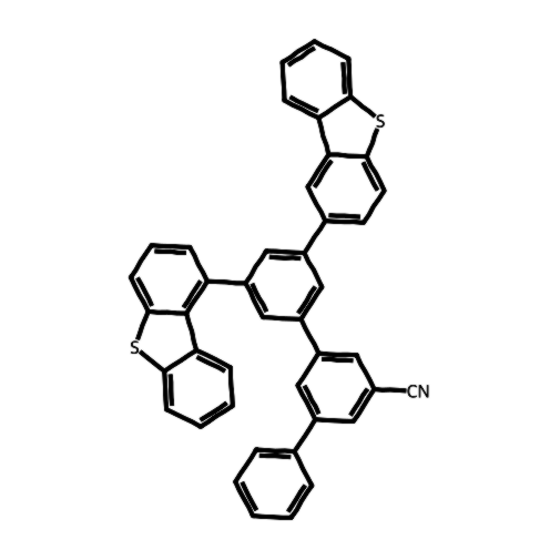 N#Cc1cc(-c2ccccc2)cc(-c2cc(-c3ccc4sc5ccccc5c4c3)cc(-c3cccc4sc5ccccc5c34)c2)c1